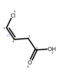 O=C(O)C/C=C\Cl